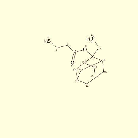 CCC1(OC(=O)CCS)C2CC3CC(C2)CC1C3